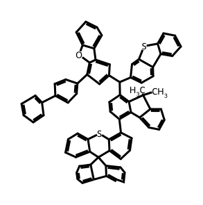 CC1(C)c2ccccc2-c2c(-c3cccc4c3Sc3ccccc3C43c4ccccc4-c4ccccc43)ccc(C(c3ccc4c(c3)sc3ccccc34)c3cc(-c4ccc(-c5ccccc5)cc4)c4oc5ccccc5c4c3)c21